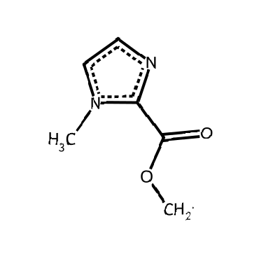 [CH2]OC(=O)c1nccn1C